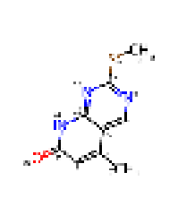 CSc1ncc2c(C)cc(=O)[nH]c2n1